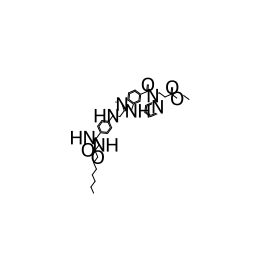 CCCCCCOC(=O)NC(=N)c1ccc(NCC2Nc3cc(C(=O)N(CCC(=O)OCC)c4ccccn4)ccc3N2C)cc1